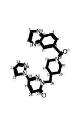 O=C(c1ccc2nccnc2c1)N1CCC(Cn2nc(-n3cccn3)ccc2=O)CC1